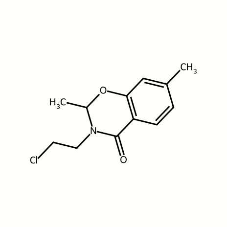 Cc1ccc2c(c1)OC(C)N(CCCl)C2=O